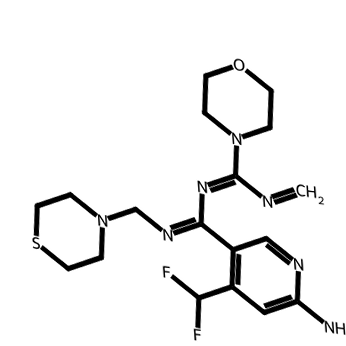 C=N/C(=N\C(=N/CN1CCSCC1)c1cnc(N)cc1C(F)F)N1CCOCC1